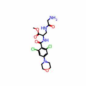 COC(=O)C(CNC(=O)CN)NC(=O)c1c(Cl)cc(N2CCOCC2)cc1Cl